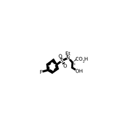 CCN([C@@H](CO)C(=O)O)S(=O)(=O)c1ccc(F)cc1